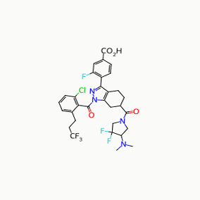 CN(C)C1CN(C(=O)C2CCc3c(-c4ccc(C(=O)O)cc4F)nn(C(=O)c4c(Cl)cccc4CCC(F)(F)F)c3C2)CC1(F)F